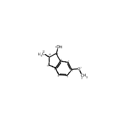 COc1ccc2c(c1)C(O)C(C)C2